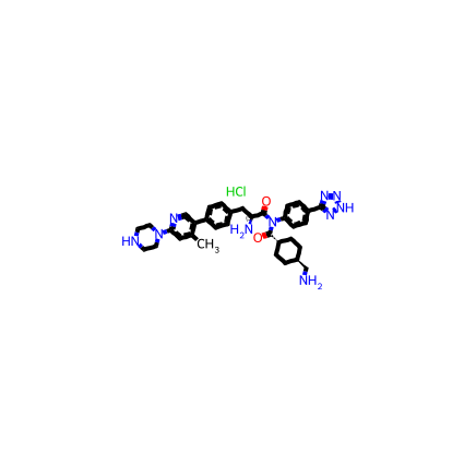 Cc1cc(N2CCNCC2)ncc1-c1ccc(C[C@H](N)C(=O)N(c2ccc(-c3nn[nH]n3)cc2)C(=O)[C@H]2CC[C@H](CN)CC2)cc1.Cl